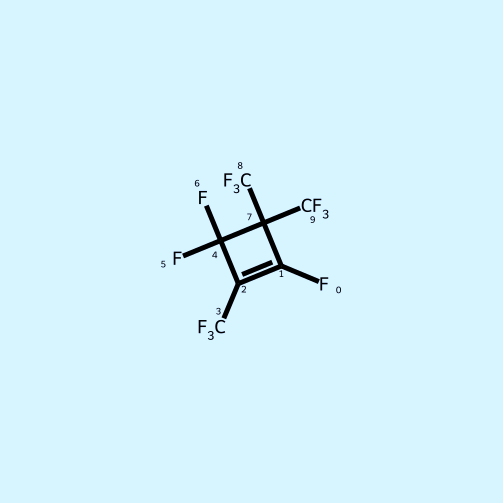 FC1=C(C(F)(F)F)C(F)(F)C1(C(F)(F)F)C(F)(F)F